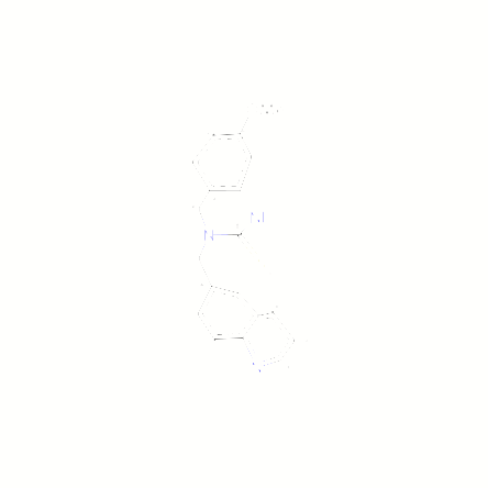 COc1ccc(CN(Cc2ccc3ncccc3c2)C(N)=S)cc1